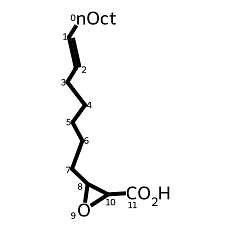 CCCCCCCCC=CCCCCCC1OC1C(=O)O